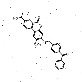 COc1cc2c(cc1OCc1ccc(C(=O)c3ccccc3)cc1)oc(=O)c1cc(C(C)O)ccc12